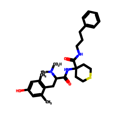 Cc1cc(O)cc(C)c1CC(C(=O)NC1(C(=O)NCCCc2ccccc2)CCSCC1)N(C(=O)O)C(C)(C)C